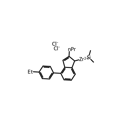 CCCC1=Cc2c(-c3ccc(CC)cc3)cccc2[CH]1[Zr+2][Si](C)C.[Cl-].[Cl-]